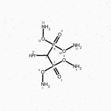 CCCC(P(=O)(ON)ON)P(=O)(ON)ON